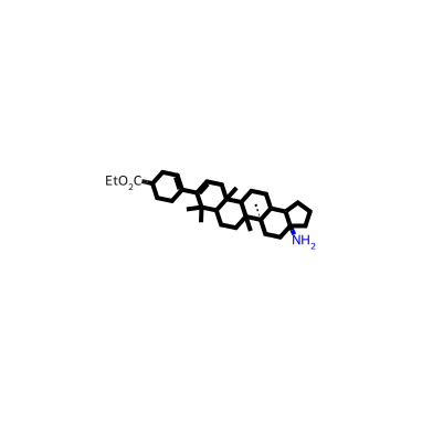 CCOC(=O)C1CC=C(C2=CCC3(C)C(CCC4(C)C3CCC3C5CCCC5(N)CC[C@]34C)C2(C)C)CC1